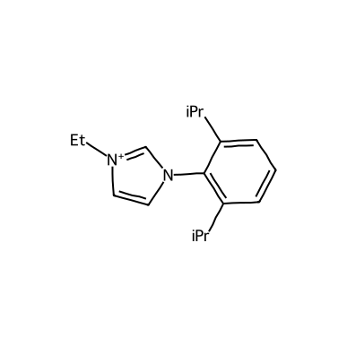 CC[n+]1ccn(-c2c(C(C)C)cccc2C(C)C)c1